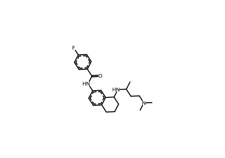 CC(CCN(C)C)NC1CCCc2ccc(NC(=O)c3ccc(F)cc3)cc21